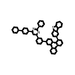 c1ccc(-c2ccc(-c3cc(-c4cccc(-c5ccc6c(c5)c5ccccc5c5cccc(-c7ccc8sc9ccccc9c8c7)c56)c4)nc(-c4ccccc4)n3)cc2)cc1